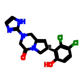 O=C1CN(c2ncc[nH]2)CC2=C[C@H](c3c(O)ccc(Cl)c3Cl)CN12